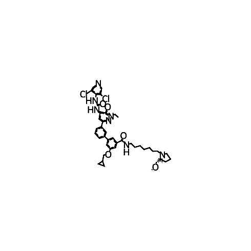 CCn1nc(-c2cccc(-c3cc(OCC4CC4)cc(C(=O)NCCCCCCCN4CCC[C@@H]4COC)c3)c2)cc(NC(=O)Nc2c(Cl)cncc2Cl)c1=O